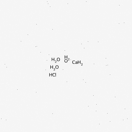 Cl.O.O.O.[CaH2]